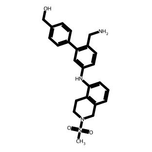 CS(=O)(=O)N1CCc2c(cccc2Nc2ccc(CN)c(-c3ccc(CO)cc3)c2)C1